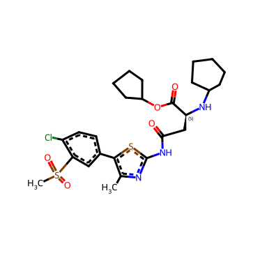 Cc1nc(NC(=O)C[C@H](NC2CCCCC2)C(=O)OC2CCCC2)sc1-c1ccc(Cl)c(S(C)(=O)=O)c1